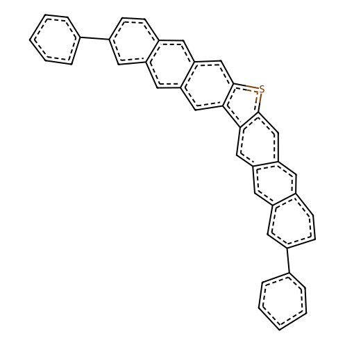 c1ccc(-c2ccc3cc4cc5sc6cc7cc8ccc(-c9ccccc9)cc8cc7cc6c5cc4cc3c2)cc1